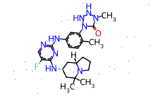 Cc1ccc(Nc2ncc(F)c(N[C@@H]3C[C@@H]4CCCN4C(C)(C)C3)n2)cc1N1NNN(C)C1=O